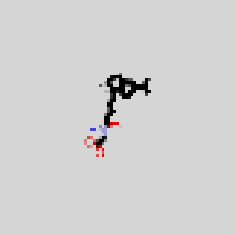 COC(=O)CNC(=O)CCCC[C@]1(C)c2ccc(C(C)C)cc2CC[C@H]1C